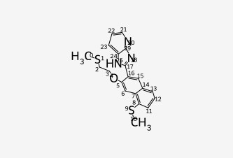 CSCCOc1cc2c(SC)cccc2cc1-c1nc2ncccc2[nH]1